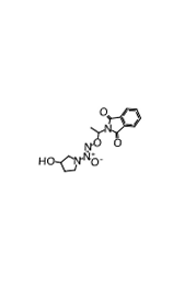 CC(ON=[N+]([O-])N1CCC(O)C1)N1C(=O)c2ccccc2C1=O